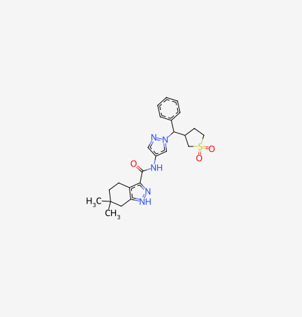 CC1(C)CCc2c(C(=O)Nc3cnn(C(c4ccccc4)C4CCS(=O)(=O)C4)c3)n[nH]c2C1